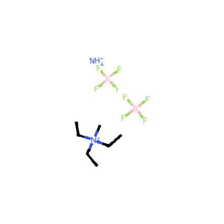 CC[N+](C)(CC)CC.F[B-](F)(F)F.F[B-](F)(F)F.[NH4+]